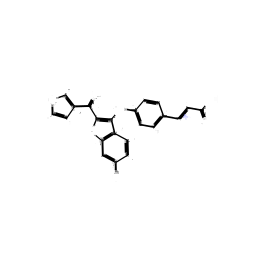 O=C(O)/C=C/c1ccc(Oc2c(C(=O)c3ccoc3)sc3cc(O)ccc23)cc1